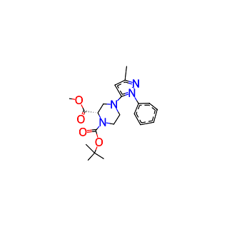 COC(=O)[C@@H]1CN(c2cc(C)nn2-c2ccccc2)CCN1C(=O)OC(C)(C)C